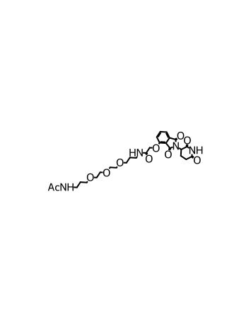 CC(=O)NCCCOCCOCCOCCCNC(=O)COc1cccc2c1C(=O)N(C1CCC(=O)NC1=O)C2=O